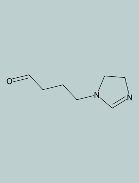 O=CCCCN1C=NCC1